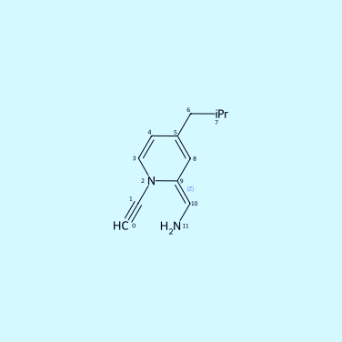 C#CN1C=CC(CC(C)C)=C/C1=C/N